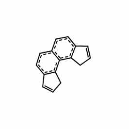 C1=Cc2ccc3ccc4c(c3c2C1)CC=C4